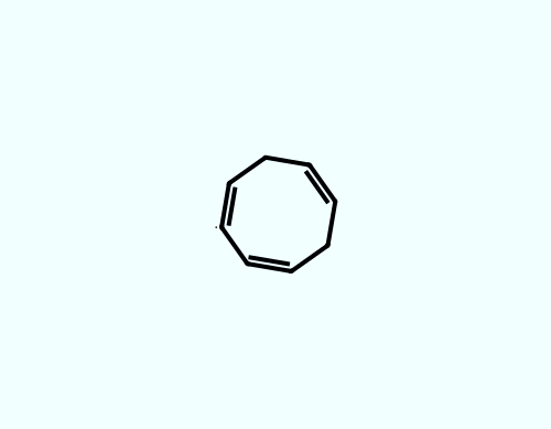 [C]1=C\C/C=C\C\C=C/1